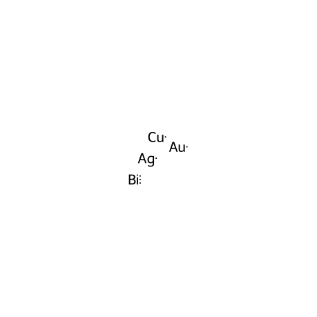 [Ag].[Au].[Bi].[Cu]